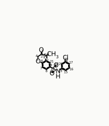 CN1C(=O)COc2ccc(S(=O)(=O)Nc3cccc(Cl)c3)cc21